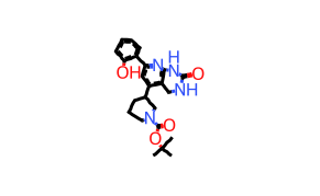 CC(C)(C)OC(=O)N1CCCC(c2cc(-c3ccccc3O)nc3c2CNC(=O)N3)C1